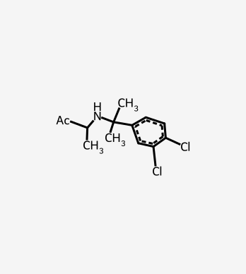 CC(=O)C(C)NC(C)(C)c1ccc(Cl)c(Cl)c1